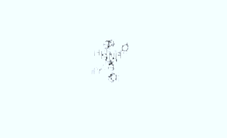 CC(C)CCN(C(=O)N[C@@H](CCc1ccccc1)C(O)C1=NCCO1)C(=O)OCc1ccccc1